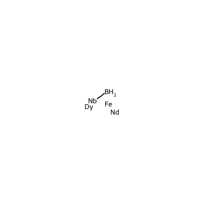 [BH2][Nb].[Dy].[Fe].[Nd]